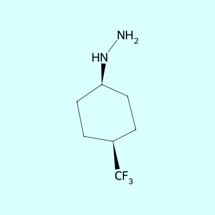 NN[C@H]1CC[C@@H](C(F)(F)F)CC1